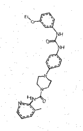 CCOc1cccc(NC(=O)Nc2ccc(N3CCN(C(=O)Nc4ncccc4C)CC3)cc2)c1